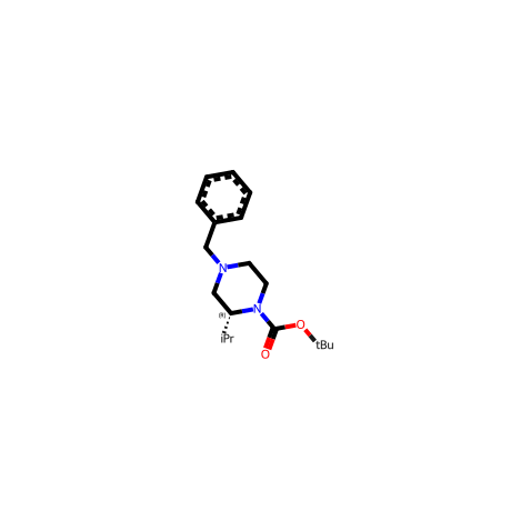 CC(C)[C@@H]1CN(Cc2ccccc2)CCN1C(=O)OC(C)(C)C